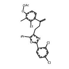 C=C(CCc1nc(-c2ccc(Cl)cc2Cl)oc1C(C)C)c1ccc(OOC(C)=O)c(C)c1CC